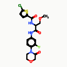 COCC(NC(=O)c1ccc(Cl)s1)C(=O)Nc1ccc(N2CCOCC2=O)c(F)c1